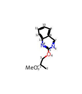 CO[C@@H](C)COc1ncc2ccccc2n1